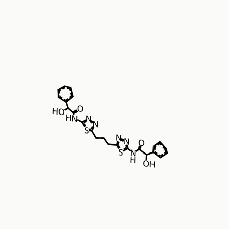 O=C(Nc1nnc(CCCc2nnc(NC(=O)C(O)c3ccccc3)s2)s1)C(O)c1ccccc1